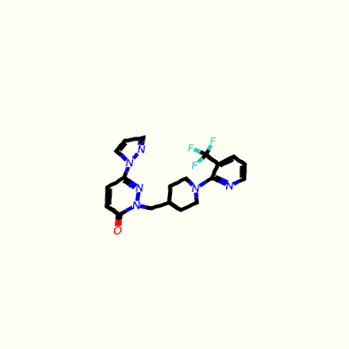 O=c1ccc(-n2cccn2)nn1CC1CCN(c2ncccc2C(F)(F)F)CC1